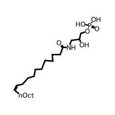 CCCCCCCC/C=C\CCCCCCCCCC(=O)NCC(O)COP(=O)(O)O